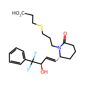 O=C(O)CCSCCCN1C(=O)CCC[C@@H]1/C=C/[C@@H](O)C(F)(F)c1ccccc1